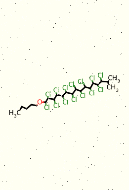 CCCCCOC(Cl)C(Cl)C(Cl)C(Cl)C(Cl)C(Cl)C(Cl)C(Cl)C(Cl)C(Cl)C(Cl)C(Cl)C(Cl)C(Cl)C(C)C